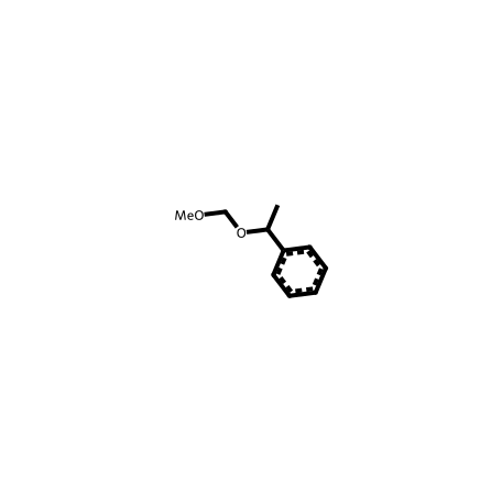 COCOC(C)c1ccccc1